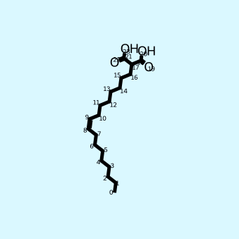 CCCCCCCC/C=C\CCCCCCCC(C(=O)O)C(=O)O